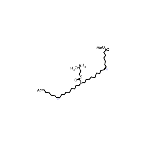 COC(=O)CCCCC/C=C\CCCCCCCCN(CCCCCCCC/C=C\CCCCCC(C)=O)C(=O)SCCN(C)C